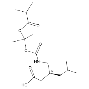 CC(C)C[C@H](CNC(=O)OC(C)(C)OC(=O)C(C)C)CC(=O)O